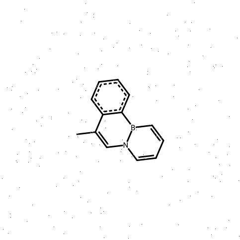 CC1=CN2C=CC=CB2c2ccccc21